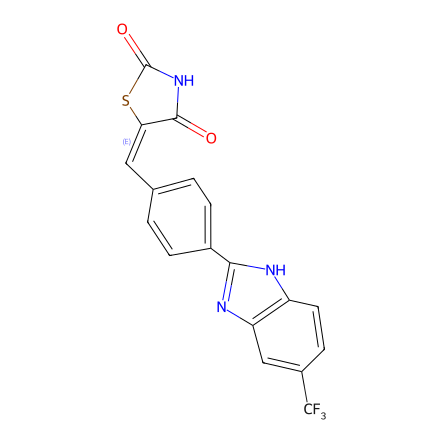 O=C1NC(=O)/C(=C\c2ccc(-c3nc4cc(C(F)(F)F)ccc4[nH]3)cc2)S1